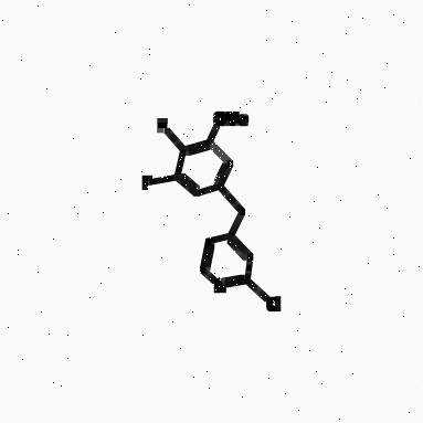 COc1cc(Cc2ccnc(Cl)c2)cc(F)c1F